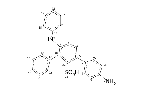 Nc1ccc(-c2ccc(Nc3ccccc3)c(-c3ccccc3)c2S(=O)(=O)O)cc1